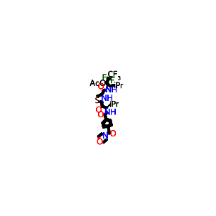 CC(=O)OC(=C(NC(=O)C1CSC(C(=O)[C@H](NC(=O)c2ccc(C(=O)N3CCOCC3)cc2)C(C)C)N1)C(C)C)C(F)(F)C(F)(F)F